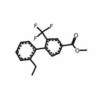 CCc1ccccc1-c1ccc(C(=O)OC)cc1C(F)(F)F